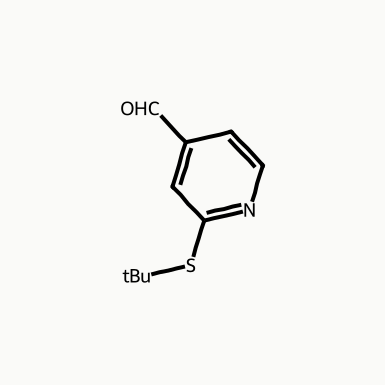 CC(C)(C)Sc1cc(C=O)ccn1